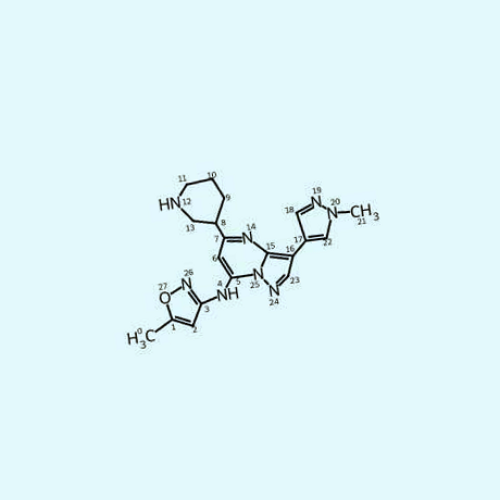 Cc1cc(Nc2cc(C3CCCNC3)nc3c(-c4cnn(C)c4)cnn23)no1